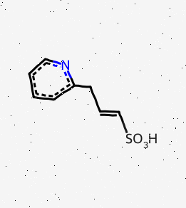 O=S(=O)(O)C=CCc1ccccn1